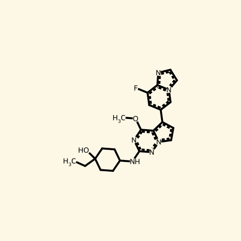 CCC1(O)CCC(Nc2nc(OC)c3c(-c4cc(F)c5nccn5c4)ccn3n2)CC1